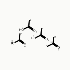 CC(=O)O.CC(=O)O.CC(=O)O.CC(C)=O